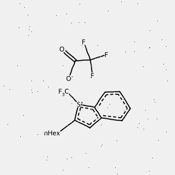 CCCCCCc1cc2ccccc2[s+]1C(F)(F)F.O=C([O-])C(F)(F)F